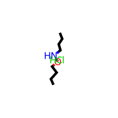 CCCCNOCCCC.Cl